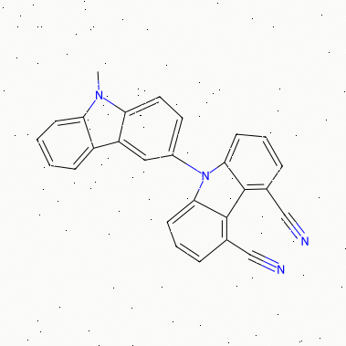 Cn1c2ccccc2c2cc(-n3c4cccc(C#N)c4c4c(C#N)cccc43)ccc21